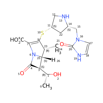 C[C@@H](O)[C@H]1C(=O)N2C(C(=O)O)=C(S[C@@H]3CN[C@H](Cn4cc[nH]c4=O)C3)[C@H](C)[C@H]12